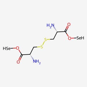 N[C@@H](CSSC[C@H](N)C(=O)O[SeH])C(=O)O[SeH]